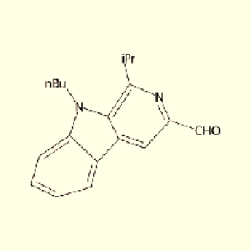 CCCCn1c2ccccc2c2cc(C=O)nc(C(C)C)c21